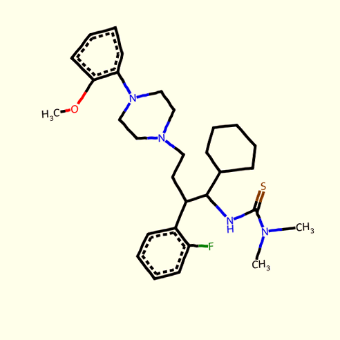 COc1ccccc1N1CCN(CCC(c2ccccc2F)C(NC(=S)N(C)C)C2CCCCC2)CC1